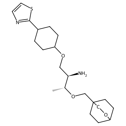 C[C@@H](OCC12CCC(CC1)OC2)[C@H](N)COC1CCC(c2nccs2)CC1